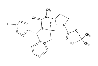 CN(C(=O)N1[C@@H](c2ccc(F)cc2)c2ccccc2CC1(F)F)C1CCN(C(=O)OC(C)(C)C)C1